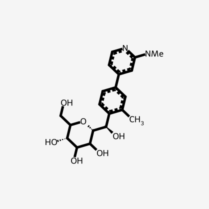 CNc1cc(-c2ccc([C@@H](O)[C@H]3OC(CO)[C@@H](O)C(O)C3O)c(C)c2)ccn1